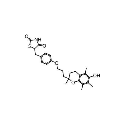 Cc1c(C)c2c(c(C)c1O)CCC(C)(CCCOc1ccc(CC3SC(=O)NC3=O)cc1)O2